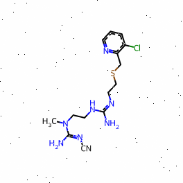 CN(CCNC(N)=NCCSCc1ncccc1Cl)C(N)=NC#N